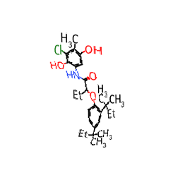 CCC(Oc1ccc(C(C)(C)CC)cc1C(C)(C)CC)C(=O)Nc1cc(O)c(C)c(Cl)c1O